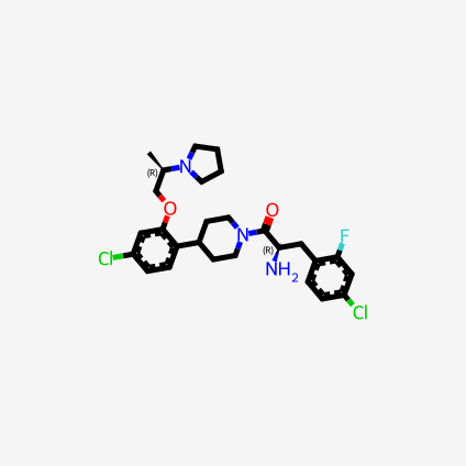 C[C@H](COc1cc(Cl)ccc1C1CCN(C(=O)[C@H](N)Cc2ccc(Cl)cc2F)CC1)N1CCCC1